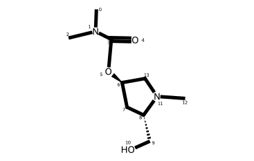 CN(C)C(=O)O[C@@H]1C[C@@H](CO)N(C)C1